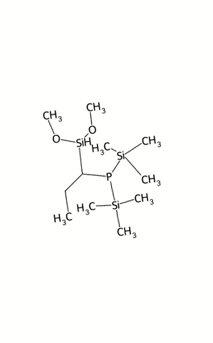 CCC([SiH](OC)OC)P([Si](C)(C)C)[Si](C)(C)C